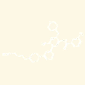 C#CCCCCN1CCN(c2cncc(-c3cc(NC(=O)c4cccc(C(F)(F)F)c4)c(OC4CCOCC4)nc3C)c2)CC1